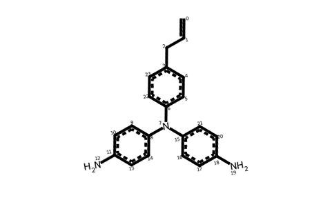 C=CCc1ccc(N(c2ccc(N)cc2)c2ccc(N)cc2)cc1